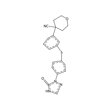 N#CC1(c2cccc(Sc3ccc(-n4nc[nH]c4=O)cc3)c2)CCOCC1